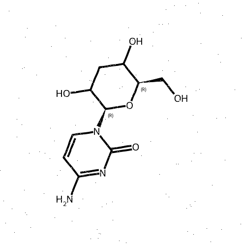 Nc1ccn([C@@H]2O[C@H](CO)C(O)CC2O)c(=O)n1